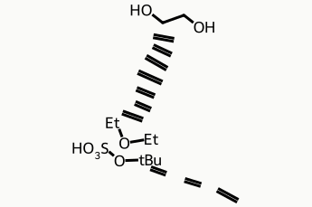 C=C.C=C.C=C.C=C.C=C.C=C.C=C.C=C.C=C.C=C.CC(C)(C)OS(=O)(=O)O.CCOCC.OCCO